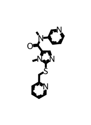 CN(C(=O)c1cnc(SCc2ccccn2)n1C)c1cccnc1